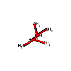 CCCCCCCCCCCCCCCCCCP(O)(O)(CCCCCCCCCCCCCCCCCC)OCCCCCCOP(O)(O)(CCCCCCCCCCCCCCCCCC)CCCCCCCCCCCCCCCCCC